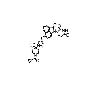 CC1(n2cc(Cc3ccc4c5c(cccc35)C(=O)N4C3CCC(=O)NC3=O)cn2)CCN(C(=O)C2CC2)CC1